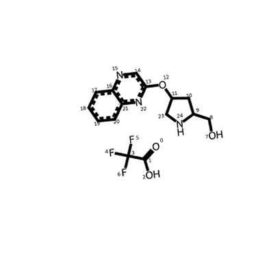 O=C(O)C(F)(F)F.OCC1CC(Oc2cnc3ccccc3n2)CN1